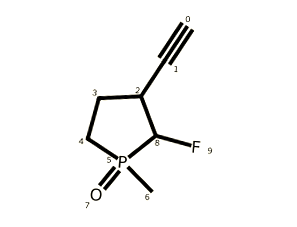 C#CC1CCP(C)(=O)C1F